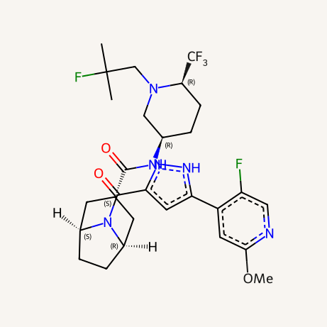 COc1cc(-c2cc(C(=O)N3[C@@H]4CC[C@H]3C[C@H](C(=O)N[C@@H]3CC[C@H](C(F)(F)F)N(CC(C)(C)F)C3)C4)n[nH]2)c(F)cn1